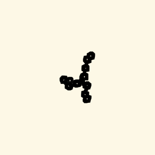 c1cc(-c2ccc3ccccc3c2)cc(N(c2ccc(-c3ccc(-c4ccc5ccccc5c4)cc3)cc2)c2ccc(-c3cccc4c3oc3ccccc34)cc2)c1